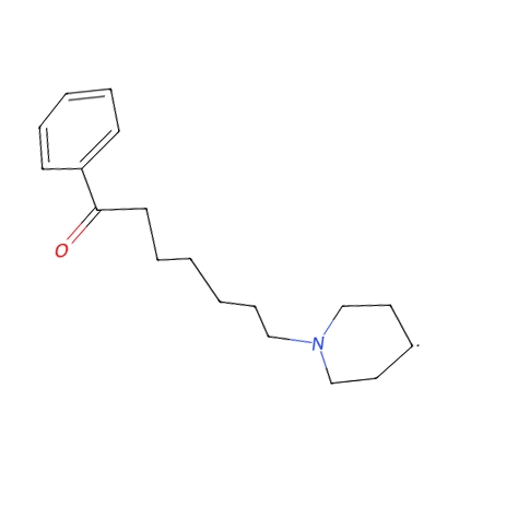 O=C(CCCCCCN1CC[CH]CC1)c1ccccc1